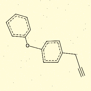 C#C[CH]c1ccc(Oc2ccccc2)cc1